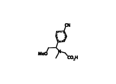 COCC(c1ccc(C#N)cc1)N(C)CC(=O)O